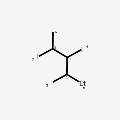 [CH2]CC(I)C(I)C(C)I